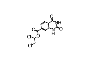 O=C(OC(Cl)CCl)c1ccc2c(=O)[nH]c(=O)[nH]c2c1